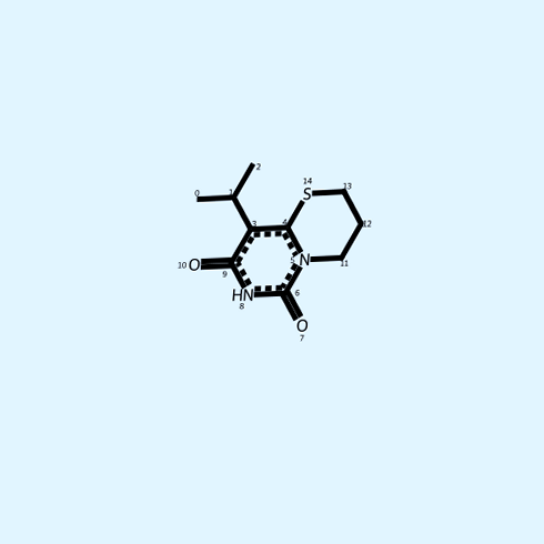 CC(C)c1c2n(c(=O)[nH]c1=O)CCCS2